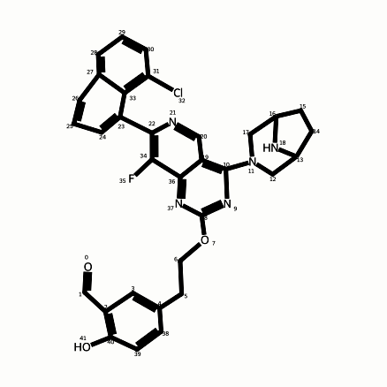 O=Cc1cc(CCOc2nc(N3CC4CCC(C3)N4)c3cnc(-c4cccc5cccc(Cl)c45)c(F)c3n2)ccc1O